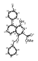 COC(=O)c1nc(N)c2c(-c3ccc(F)cc3)cncc2c1OCc1ccccc1